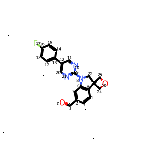 O=Cc1ccc2c(c1)N(c1ncc(-c3ccc(F)cc3)cn1)CC21COC1